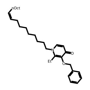 CCCCCCCC/C=C\CCCCCCCCn1ccc(=O)c(OCc2ccccc2)c1CC